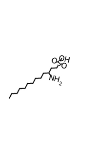 CCCCCCCCCCC(N)CCS(=O)(=O)O